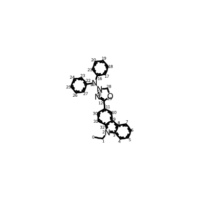 CCn1c2ccccc2c2cc(C3=NN(N(c4ccccc4)c4ccccc4)CO3)ccc21